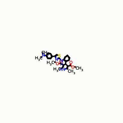 CCOC(=O)C1=C(C)NC(C)=C(C(=O)OCC)C1c1ccccc1Nc1nc(-c2ccc(N(C)C)cc2)cs1